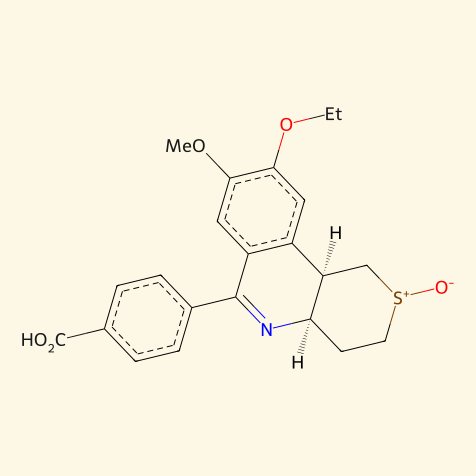 CCOc1cc2c(cc1OC)C(c1ccc(C(=O)O)cc1)=N[C@@H]1CC[S+]([O-])C[C@H]21